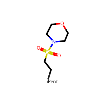 CCCC(C)CCS(=O)(=O)N1CCOCC1